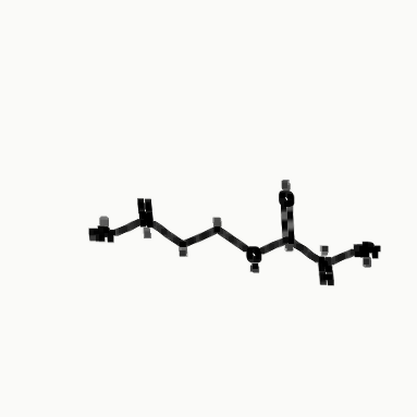 CCCNCCOC(=O)NCCC